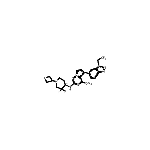 COc1nc(N[C@@H]2CCN(C3COC3)CC2(F)F)nn2ccc(-c3ccc4nnn(CC(F)(F)F)c4c3)c12